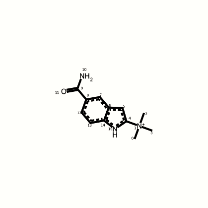 C[N+](C)(C)c1cc2cc(C(N)=O)ccc2[nH]1